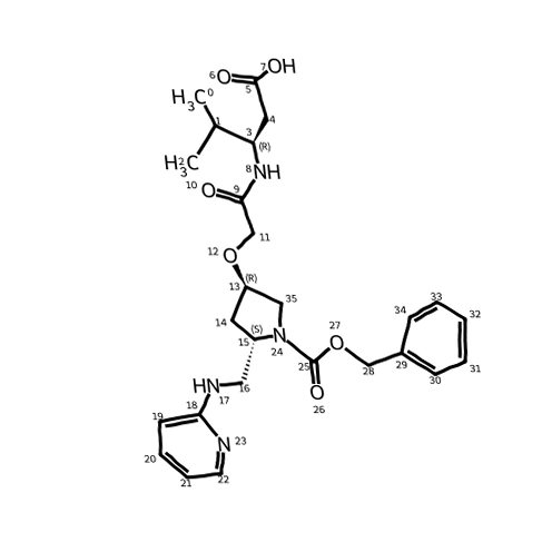 CC(C)[C@@H](CC(=O)O)NC(=O)CO[C@@H]1C[C@@H](CNc2ccccn2)N(C(=O)OCc2ccccc2)C1